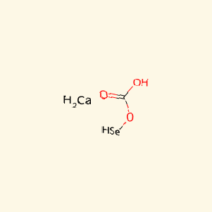 O=C(O)O[SeH].[CaH2]